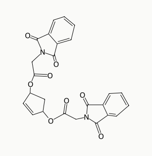 O=C(CN1C(=O)c2ccccc2C1=O)OC1C=CC(OC(=O)CN2C(=O)c3ccccc3C2=O)C1